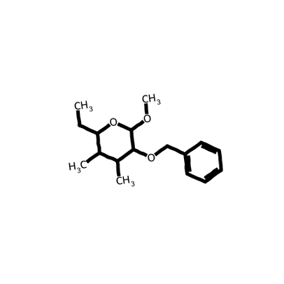 CCC1OC(OC)C(OCc2ccccc2)C(C)C1C